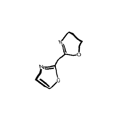 c1coc(C2=NCCO2)n1